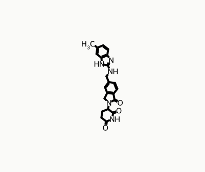 Cc1ccc2nc(NCc3ccc4c(c3)CN(C3CCC(=O)NC3=O)C4=O)[nH]c2c1